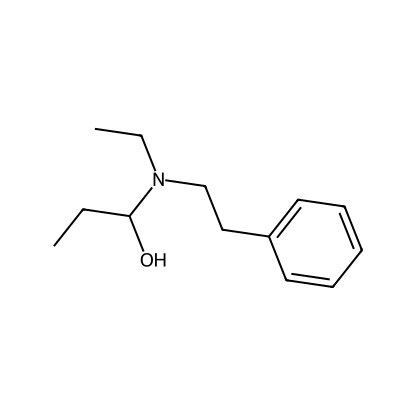 CCC(O)N(CC)CCc1ccccc1